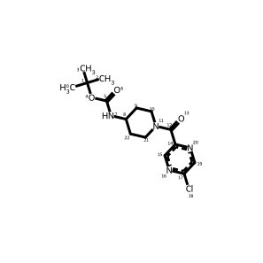 CC(C)(C)OC(=O)NC1CCN(C(=O)c2cnc(Cl)cn2)CC1